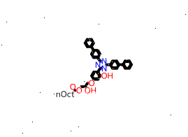 CCCCCCCCC(=O)OCC(O)COc1ccc(-c2nc(-c3ccc(-c4ccccc4)cc3)nc(-c3ccc(-c4ccccc4)cc3)n2)c(O)c1